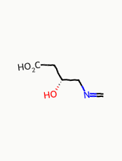 C=NC[C@H](O)CC(=O)O